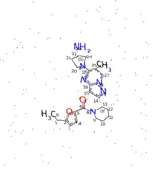 CCc1ccc(C(=O)N2CCCC[C@H]2c2cc3nc(N4CC[C@H](N)C4)c(C)cn3n2)o1